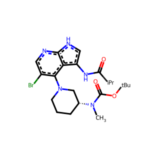 CC(C)C(=O)Nc1c[nH]c2ncc(Br)c(N3CCC[C@@H](N(C)C(=O)OC(C)(C)C)C3)c12